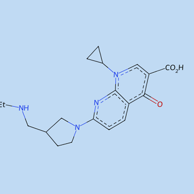 CCNCC1CCN(c2ccc3c(=O)c(C(=O)O)cn(C4CC4)c3n2)C1